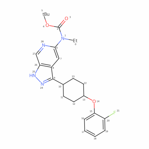 CCN(C(=O)OC(C)(C)C)c1cc2c(C3CCC(Oc4ccccc4F)CC3)n[nH]c2cn1